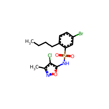 CCCCc1ccc(Br)cc1S(=O)(=O)Nc1onc(C)c1Cl